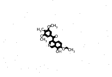 CCOc1ccc2c(C(=O)c3cc(OC)c(C)c(OC)c3)cncc2c1O